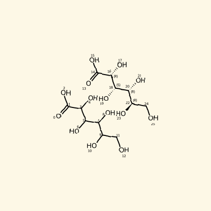 O=C(O)C(O)C(O)C(O)C(O)CO.O=C(O)[C@H](O)[C@@H](O)[C@H](O)[C@H](O)CO